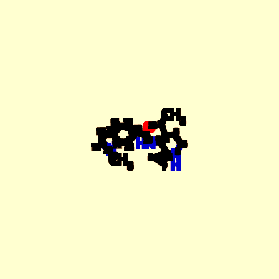 CCC1CCNC2(CC2)C1NC(=O)c1ccc2ccn(C)c2c1